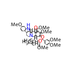 C=C.C=CC.COC(=O)[C@H]1[C@H]2C[C@@H]3c4[nH]c5cc(OC)ccc5c4CCN3C[C@H]2C[C@@H](OC(=O)c2cc(OC)c(OC)c(OC)c2)[C@@H]1OC